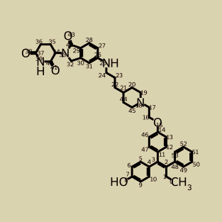 CCC(=C(c1ccc(O)cc1)c1ccc(OCCN2CCC(CCCNc3ccc4c(c3)CN(C3CCC(=O)NC3=O)C4=O)CC2)cc1)c1ccccc1